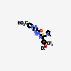 CCOc1ccc(-c2nc(NC(=O)c3cnc(N4CCC(C(=O)O)CC4)cn3)sc2CN2CCC[C@H]2C)cc1C(F)(F)F